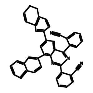 N#Cc1ccccc1-c1nc(-c2ccccc2C#N)c2cc(-c3ccc4c(c3)C=CCC4)cc(-c3ccc4ccccc4c3)c2n1